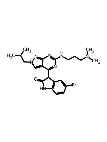 CC(C)Cn1cc2c(C3C(=O)Nc4ccc(Br)cc43)nc(NCCCN(C)C)nc2n1